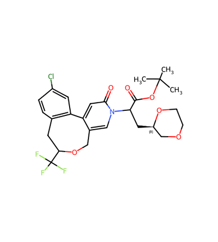 CC(C)(C)OC(=O)C(C[C@@H]1COCCO1)n1cc2c(cc1=O)-c1cc(Cl)ccc1CC(C(F)(F)F)OC2